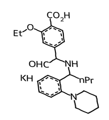 CCCC(NC(C=O)c1ccc(C(=O)O)c(OCC)c1)c1ccccc1N1CCCCC1.[KH]